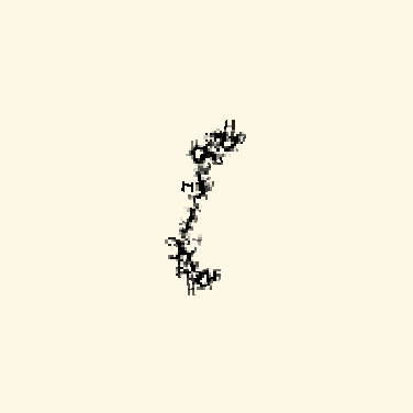 Cc1[nH]c(/C=C2\C(=O)Nc3ccc(F)cc32)c(C)c1C(=O)NCCCCCCCCNC(=O)COc1cccc2c1C(=O)N(C1CCC(=O)NC1=O)C2O